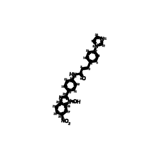 O=C(/C=C/c1ccc(-n2ccnc2)cc1)Nc1ccc(-c2nc3ccc([N+](=O)[O-])cc3n2O)cc1